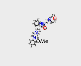 COc1ccccc1N1CCN(CCC(C(=O)NCCN2CCOCC2)c2ccccc2)CC1